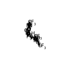 CC(COc1cc(N2CCN(c3ncc(C(F)(F)F)cn3)CC2=O)ncc1F)Nc1cnn(COCCC(F)(F)F)c(=O)c1C(F)(F)F